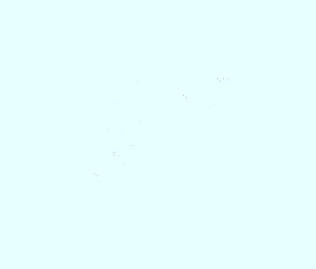 CNC(=O)[C@@H](NC(=O)c1ccc(-c2cccc(CNC(=O)[C@@H]3CCCN3)c2)o1)C(C)C